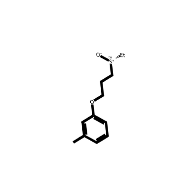 CC[S@@+]([O-])CCCOc1cccc(C)c1